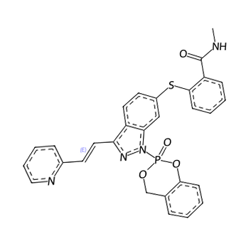 CNC(=O)c1ccccc1Sc1ccc2c(/C=C/c3ccccn3)nn(P3(=O)OCc4ccccc4O3)c2c1